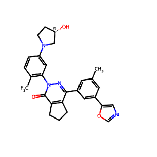 Cc1cc(-c2cnco2)cc(-c2nn(-c3cc(N4CC[C@H](O)C4)ccc3C(F)(F)F)c(=O)c3c2CCC3)c1